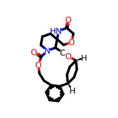 O=C1COCC2(CCCN3C(=O)OCCc4ccccc4[C@H]4CC[C@H](CC4)OCC32)N1